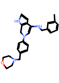 Cc1cccc(CNC2=CN(c3ccc(CN4CCOCC4)cc3)Cc3[nH]ccc32)c1